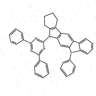 c1ccc(-c2nc(-c3ccccc3)nc(-n3c4c(c5cc6c7ccccc7p(-c7ccccc7)c6cc53)CCCC4)n2)cc1